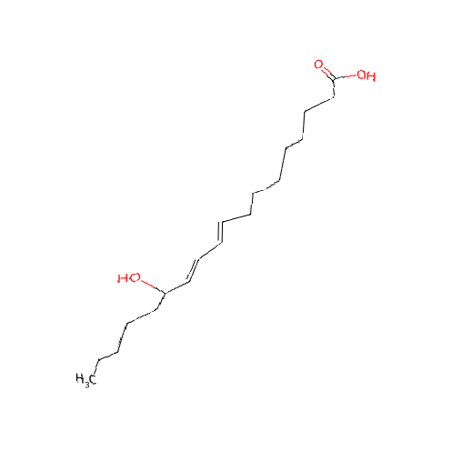 CCCCCC(O)C=CC=CCCCCCCCC(=O)O